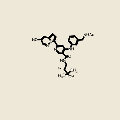 CC(=O)NCc1cccc(Nc2cc(-c3ccc4cc(C#N)cnn34)ncc2C(=O)NC[C@@H](F)C(C)(C)O)c1